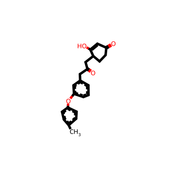 Cc1ccc(Oc2cccc(CC(=O)CC3CCC(=O)C=C3O)c2)cc1